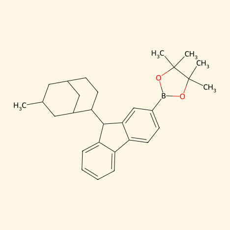 CC1CC2CCC(C3c4ccccc4-c4ccc(B5OC(C)(C)C(C)(C)O5)cc43)C(C1)C2